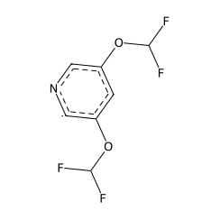 FC(F)Oc1[c]ncc(OC(F)F)c1